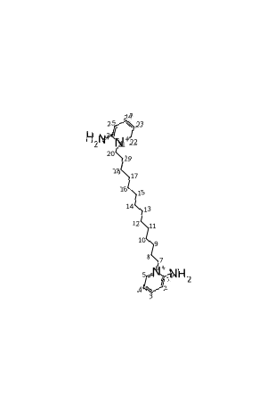 Nc1cccc[n+]1CCCCCCCCCCCCCC[n+]1ccccc1N